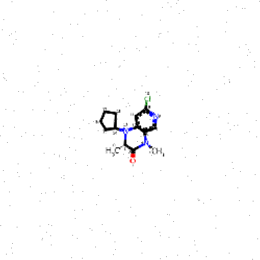 C[C@H]1C(=O)N(C)c2cnc(Cl)cc2N1C1CCCC1